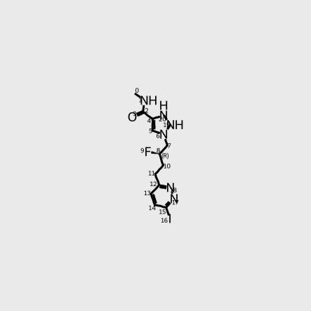 CNC(=O)C1=CN(C[C@H](F)CCc2ccc(I)nn2)NN1